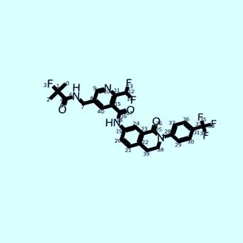 CC(C)(F)C(=O)NCc1cnc(C(F)F)c(C(=O)Nc2ccc3c(c2)C(=O)N(c2ccc(C(F)(F)F)cc2)CC3)c1